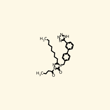 CCCCCCCCc1nn(C(=O)CCC)c(=O)n1Cc1ccc(-c2cccc(-c3nnn[nH]3)c2)cc1